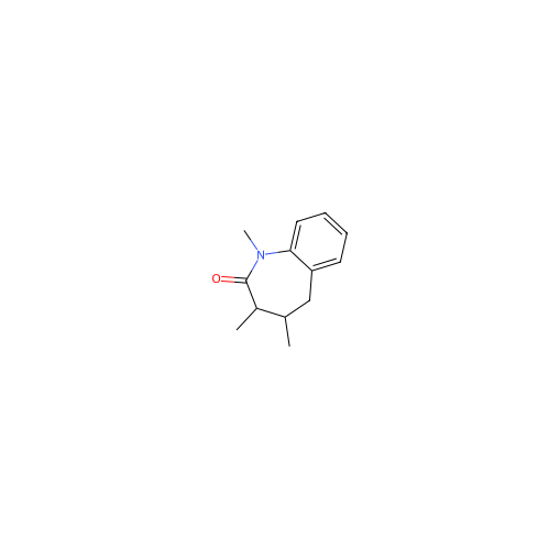 CC1Cc2ccccc2N(C)C(=O)C1C